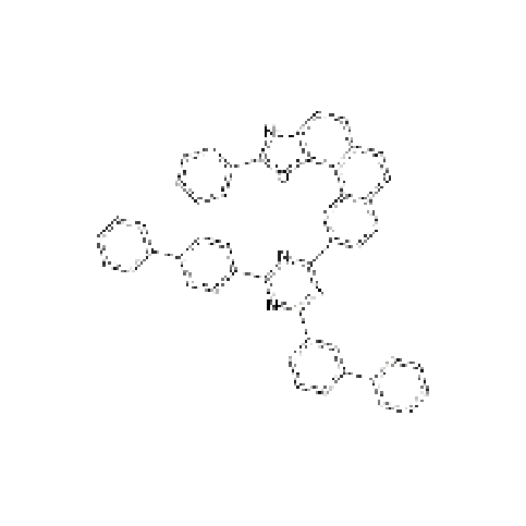 c1ccc(-c2ccc(-c3nc(-c4cccc(-c5ccccc5)c4)nc(-c4ccc5ccc6ccc7nc(-c8ccccc8)oc7c6c5c4)n3)cc2)cc1